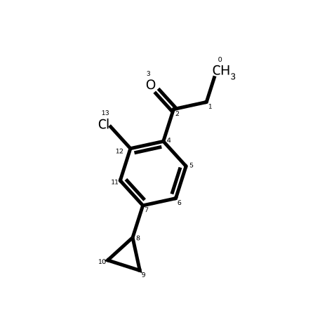 CCC(=O)c1ccc(C2CC2)cc1Cl